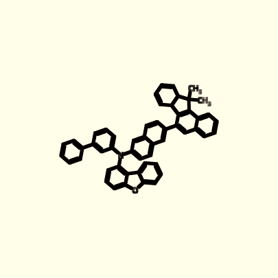 CC1(C)c2c(c(-c3ccc4cc(N(c5cccc(-c6ccccc6)c5)c5cccc6oc7ccccc7c56)ccc4c3)cc3ccccc23)C2C=CC=CC21